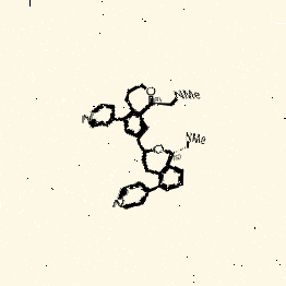 CNC[C@@H]1OCCCc2c(-c3ccncc3)cc(C3CCc4c(-c5ccncc5)cccc4[C@@H](CNC)O3)cc21